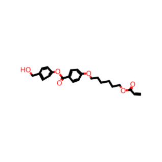 C=CC(=O)OCCCCCCOc1ccc(C(=O)Oc2ccc(CO)cc2)cc1